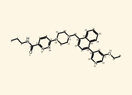 CCCNC(=O)c1ccc(N2CCN(Cc3ccc(-c4cncc(OCC)c4)c4ccccc34)CC2)nn1